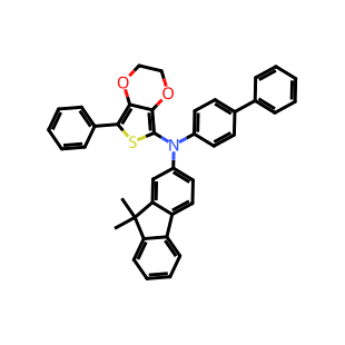 CC1(C)c2ccccc2-c2ccc(N(c3ccc(-c4ccccc4)cc3)c3sc(-c4ccccc4)c4c3OCCO4)cc21